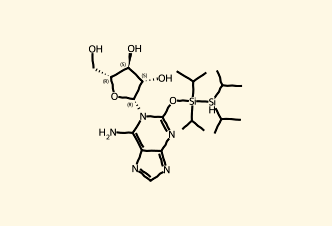 CC(C)[SiH](C(C)C)[Si](Oc1nc2ncnc-2c(N)n1[C@@H]1O[C@H](CO)[C@@H](O)[C@@H]1O)(C(C)C)C(C)C